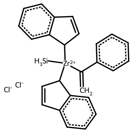 C=[C](c1ccccc1)[Zr+2]([SiH3])([CH]1C=Cc2ccccc21)[CH]1C=Cc2ccccc21.[Cl-].[Cl-]